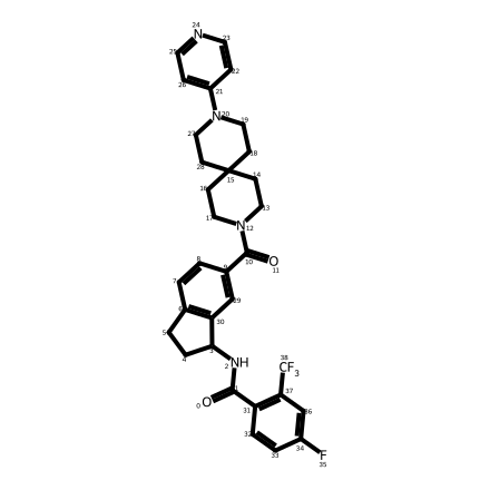 O=C(NC1CCc2ccc(C(=O)N3CCC4(CC3)CCN(c3ccncc3)CC4)cc21)c1ccc(F)cc1C(F)(F)F